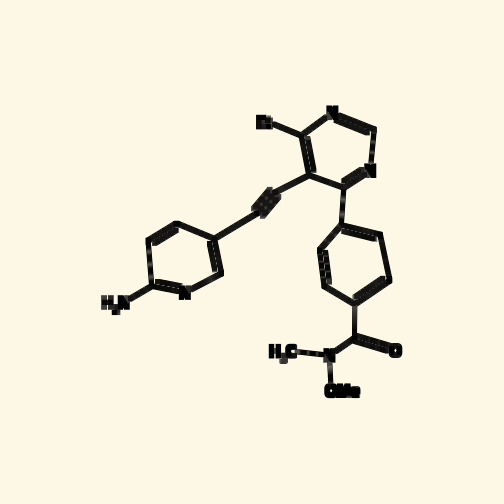 CCc1ncnc(-c2ccc(C(=O)N(C)OC)cc2)c1C#Cc1ccc(N)nc1